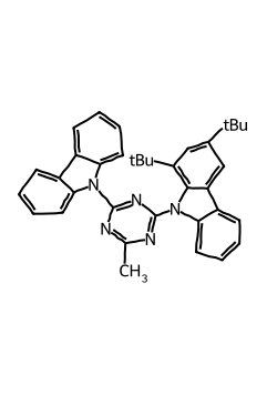 Cc1nc(-n2c3ccccc3c3ccccc32)nc(-n2c3ccccc3c3cc(C(C)(C)C)cc(C(C)(C)C)c32)n1